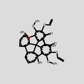 C=COc1c(CC)c(OCCC)c(C2(c3c(OCCC)c(CC)c(OC=C)c(OCCC)c3OCCC)c3ccccc3-c3ccccc32)c(OCCC)c1OCCC